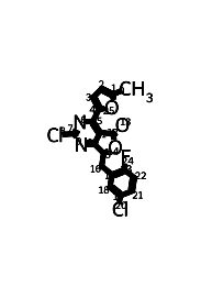 Cc1ccc(-c2nc(Cl)nc3c2C(=O)OC3Cc2cc(Cl)ccc2F)o1